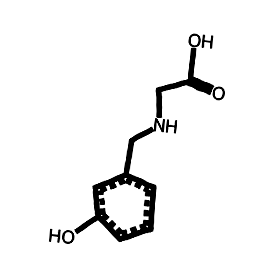 O=C(O)CNCc1cccc(O)c1